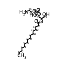 CCCCCCCCCCCCCCCC(=O)OC(CO)COP(=O)(O)OCCN